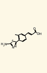 Cc1cc(C=CC(=O)O)ccc1-c1nnc(N)s1